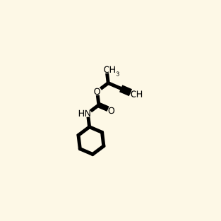 C#CC(C)OC(=O)NC1CCCCC1